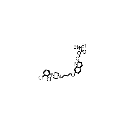 CCN(CC)C(=O)OCOc1ccc2ccc(OCCCCN3CCN(c4cccc(Cl)c4Cl)CC3)cc2n1